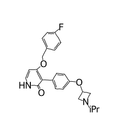 CC(C)N1CC(Oc2ccc(-c3c(OCc4ccc(F)cc4)cc[nH]c3=O)cc2)C1